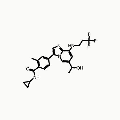 Cc1cc(-c2cnc3c(NCCC(F)(F)F)cc(C(C)O)cn23)ccc1C(=O)NC1CC1